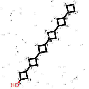 OC1CC(C2CC(C3CC(C4CC(C5CC(C6CCC6)C5)C4)C3)C2)C1